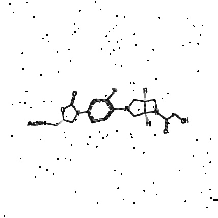 CC(=O)NC[C@H]1CN(c2ccc(N3C[C@H]4CN(C(=O)CO)[C@H]4C3)c(F)c2)C(=O)O1